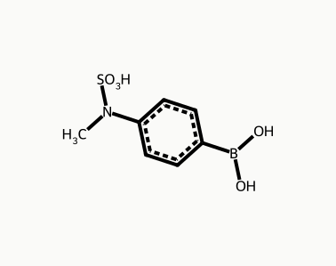 CN(c1ccc(B(O)O)cc1)S(=O)(=O)O